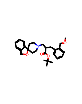 COCc1ccccc1CC(CN1CCC2(CC1)OCc1ccccc12)C(=O)OC(C)(C)C